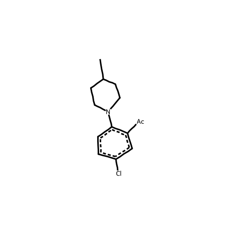 CC(=O)c1cc(Cl)ccc1N1CCC(C)CC1